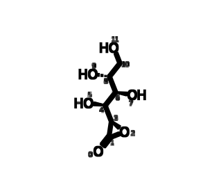 O=C1O[C@@H]1[C@@H](O)[C@H](O)[C@H](O)CO